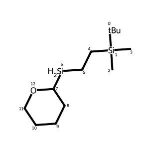 CC(C)(C)[Si](C)(C)CC[SiH2]C1CCCCO1